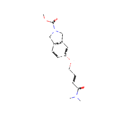 CN(C)C(=O)C=CCOc1ccc2c(c1)CN(C(=O)OC(C)(C)C)C2